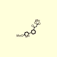 COc1ccc(-c2cccc(C(=O)CC(=O)OC(C)(C)C)c2)nn1